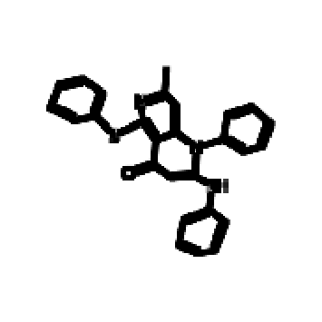 Cc1cc2c(c(Sc3ccccc3)n1)c(=O)cc(Nc1ccccc1)n2-c1ccccc1